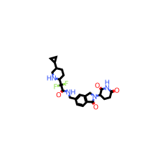 O=C1CCC(N2Cc3cc(CNC(=O)C(F)(F)C4CCC(C5CC5)CN4)ccc3C2=O)C(=O)N1